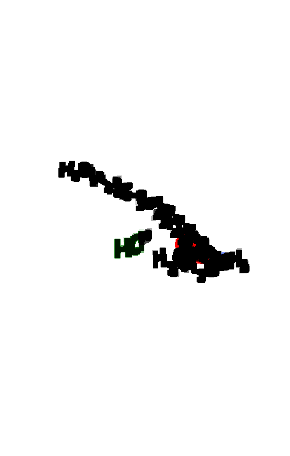 CCCCCCCCCCCCCCCCCCOCC(CN(C)C)OC(C)=O.Cl